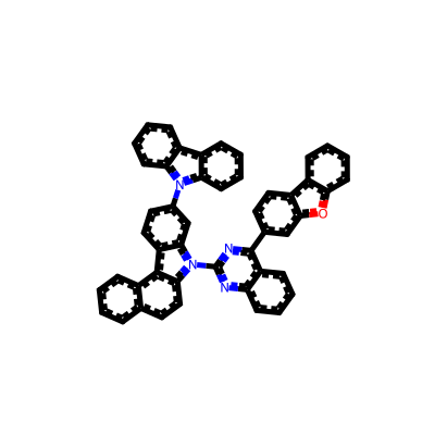 c1ccc2c(c1)ccc1c2c2ccc(-n3c4ccccc4c4ccccc43)cc2n1-c1nc(-c2ccc3c(c2)oc2ccccc23)c2ccccc2n1